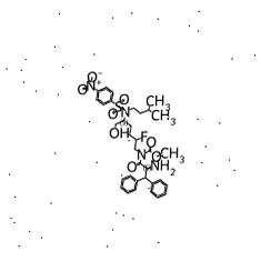 COC(=O)N(CC(F)CC[C@@H](CO)N(CCC(C)C)S(=O)(=O)c1ccc([N+](=O)[O-])cc1)C(=O)[C@@H](N)C(c1ccccc1)c1ccccc1